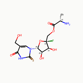 CC(C)[C@H](N)C(=O)OC[C@@]1(F)O[C@@H](n2cc(CO)c(=O)[nH]c2=S)[C@H](O)[C@@H]1O